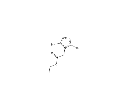 CCOC(=O)Cn1c(Br)ccc1Br